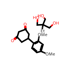 CCC(CO)(CO)CO.COc1ccc(C2CC(=O)CC(=O)C2)c(OC)c1